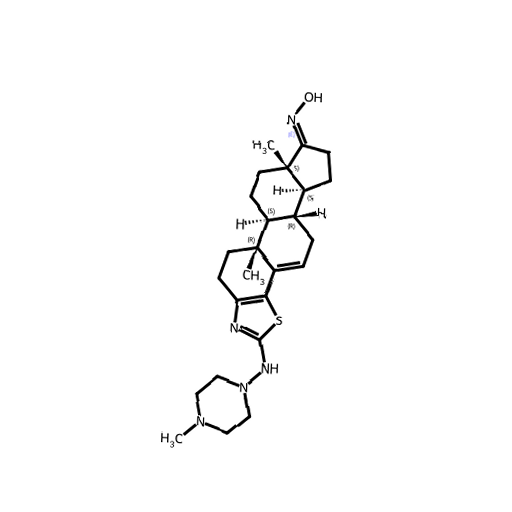 CN1CCN(Nc2nc3c(s2)C2=CC[C@@H]4[C@H](CC[C@]5(C)/C(=N/O)CC[C@@H]45)[C@@]2(C)CC3)CC1